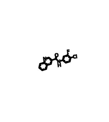 O=C(Nc1ccc(Cl)c(F)c1)c1cnc2ccccc2c1